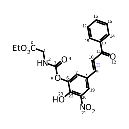 CCOC(=O)CNC(=O)Oc1cc(/C=C/C(=O)c2ccccc2)cc([N+](=O)[O-])c1O